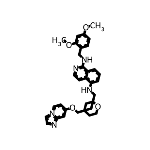 COc1ccc(CNc2nccc3c(NCC45CC(COc6ccn7ccnc7c6)(CCO4)C5)cccc23)c(OC)c1